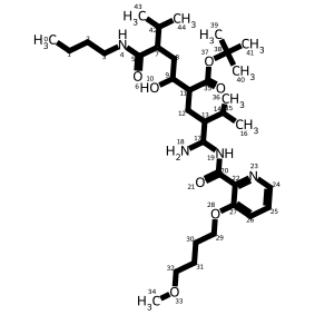 CCCCNC(=O)C(CC(O)C(CC(C(C)C)C(N)NC(=O)c1ncccc1OCCCCOC)C(=O)OC(C)(C)C)C(C)C